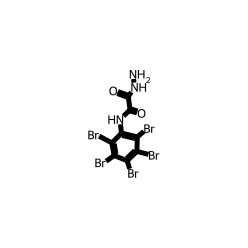 NNC(=O)C(=O)Nc1c(Br)c(Br)c(Br)c(Br)c1Br